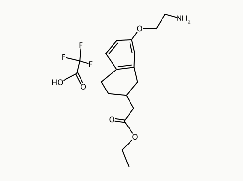 CCOC(=O)CC1CCc2ccc(OCCN)cc2C1.O=C(O)C(F)(F)F